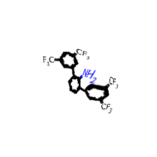 Nc1c(-c2cc(C(F)(F)F)cc(C(F)(F)F)c2)cccc1-c1cc(C(F)(F)F)cc(C(F)(F)F)c1